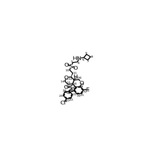 O=S(=O)(CCNC1CCC1)CC[C@@H]1OCC[C@@]2(S(=O)(=O)c3ccc(Cl)cc3)c3c(F)ccc(F)c3OC[C@@H]12